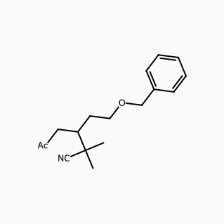 CC(=O)CC(CCOCc1ccccc1)C(C)(C)C#N